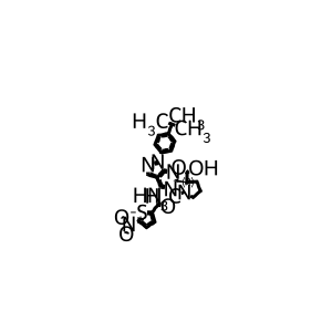 CN1CCC[C@]1(C(=O)O)c1nc(NC(=O)c2ccc([N+](=O)[O-])s2)c2cnn(-c3ccc(C(C)(C)C)cc3)c2n1